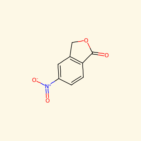 O=C1OCc2cc([N+](=O)[O-])ccc21